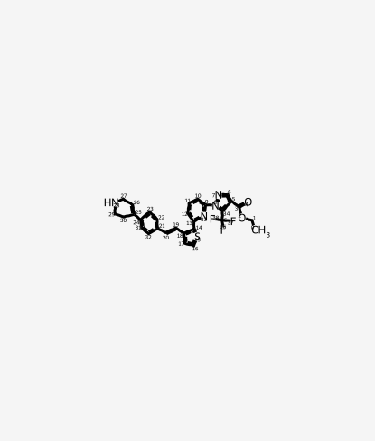 CCOC(=O)c1cnn(-c2cccc(-c3sccc3C=Cc3ccc(C4=CCNCC4)cc3)n2)c1C(F)(F)F